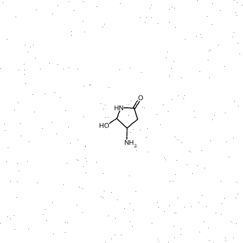 NC1CC(=O)NC1O